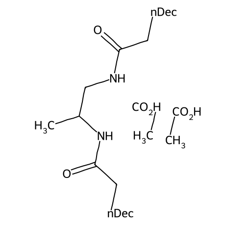 CC(=O)O.CC(=O)O.CCCCCCCCCCCC(=O)NCC(C)NC(=O)CCCCCCCCCCC